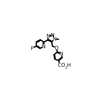 Cn1nnc(-c2ccc(F)cn2)c1COc1ccc(C(=O)O)cn1